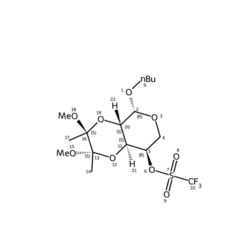 CCCCO[C@@H]1OC[C@@H](OS(=O)(=O)C(F)(F)F)[C@H]2O[C@](C)(OC)[C@@](C)(OC)O[C@H]12